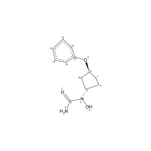 NC(=O)N(O)[C@H]1CC[C@H](Oc2ccccc2)C1